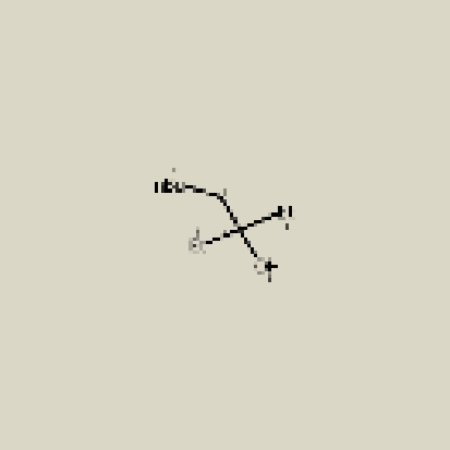 CCCCCC(O)(CC)CC